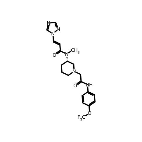 CN(C(=O)/C=C/n1cncn1)[C@H]1CCCN(CC(=O)Nc2ccc(OC(F)(F)F)cc2)C1